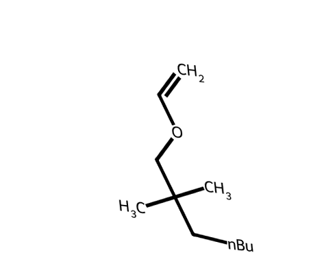 C=COCC(C)(C)CCCCC